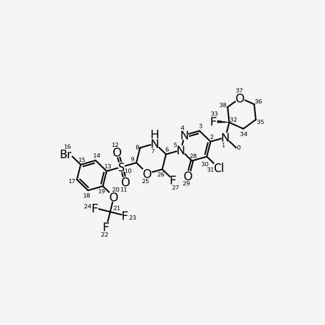 CN(c1cnn(C2NCC(S(=O)(=O)c3cc(Br)ccc3OC(F)(F)F)OC2F)c(=O)c1Cl)[C@@]1(F)CCCOC1